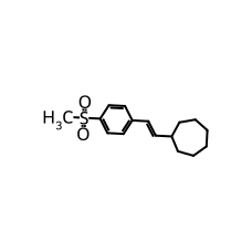 CS(=O)(=O)c1ccc(/C=C/C2CCCCCC2)cc1